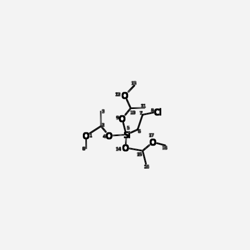 COC(C)O[Si](CCCl)(OC(C)OC)OC(C)OC